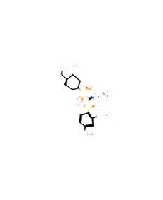 CCCCCCCCCCCC1CCC(S(=O)(=O)C(=[N+]=[N-])S(=O)(=O)c2ccc(C)cc2C)CC1